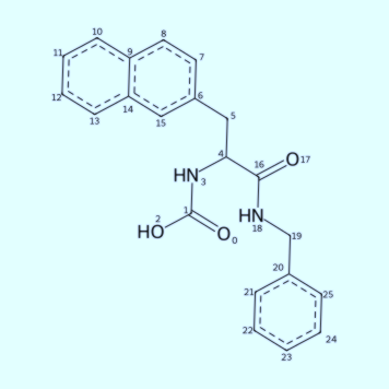 O=C(O)NC(Cc1ccc2ccccc2c1)C(=O)NCc1ccccc1